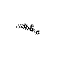 CCOc1cc(OCc2ccccc2)ccc1C1=Cc2ccc3c(c2OC1)C=CC(C)(C)O3